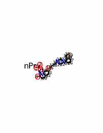 CCCOC(=O)OCn1c(=O)ccc2ccc(OCCCCN3CCN(c4cccc5sccc45)CC3)cc21